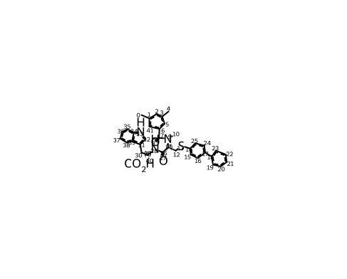 Cc1cc(C)cc(C(=O)N(C)[C@@H](CSc2ccc(-c3ccccc3)cc2)C(=O)N[C@@H](Cc2c[nH]c3ccccc23)C(=O)O)c1